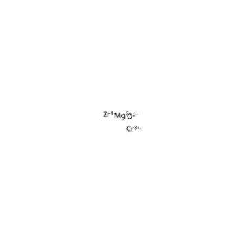 [Cr+3].[Mg+2].[O-2].[Zr+4]